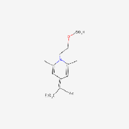 CCOC(=O)C(C(C)=O)=C1C=C(C)N(CCOS(=O)(=O)O)C(C)=C1